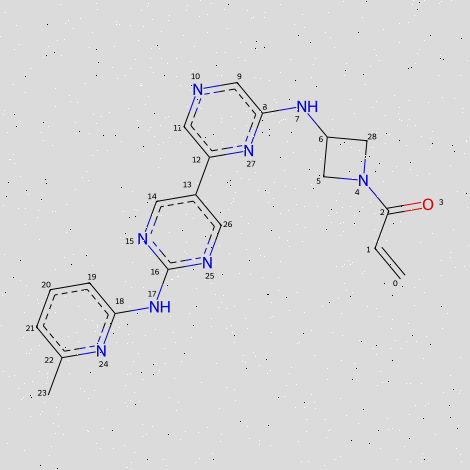 C=CC(=O)N1CC(Nc2cncc(-c3cnc(Nc4cccc(C)n4)nc3)n2)C1